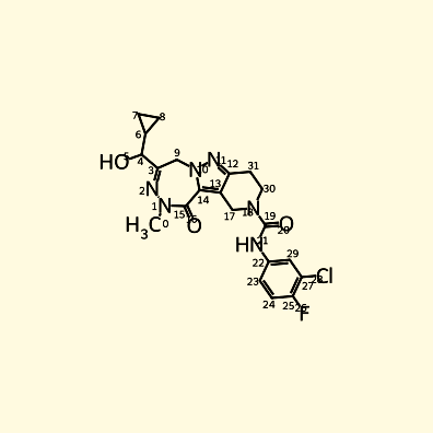 CN1N=C(C(O)C2CC2)Cn2nc3c(c2C1=O)CN(C(=O)Nc1ccc(F)c(Cl)c1)CC3